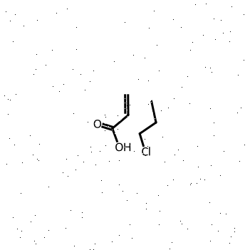 C=CC(=O)O.CCCCl